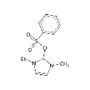 CCN1C=CN(C)C1OS(=O)(=O)c1ccccc1